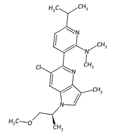 COC[C@H](C)n1cc(C)c2nc(-c3ccc(C(C)C)nc3N(C)C)c(Cl)cc21